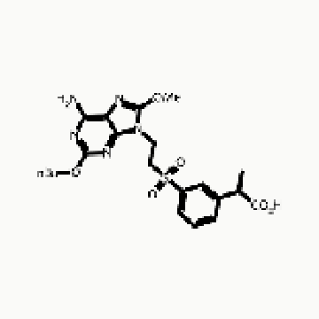 CCCCOc1nc(N)c2nc(OC)n(CCS(=O)(=O)c3cccc(C(C)C(=O)O)c3)c2n1